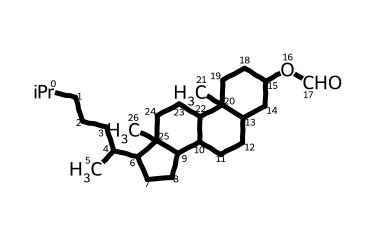 CC(C)CCCC(C)C1CCC2C3CCC4CC(OC=O)CCC4(C)C3CCC12C